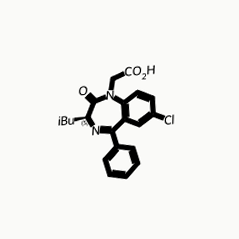 CCC(C)[C@@H]1N=C(c2ccccc2)c2cc(Cl)ccc2N(CC(=O)O)C1=O